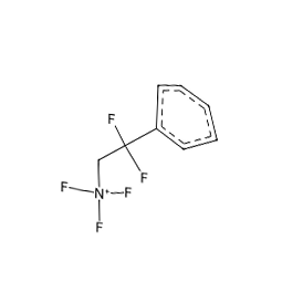 FC(F)(C[N+](F)(F)F)c1ccccc1